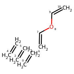 C=C.C=C.C=C.C=COC=C